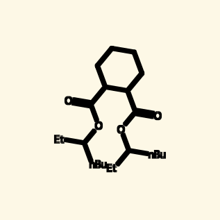 CCCCC(CC)OC(=O)C1CCCCC1C(=O)OC(CC)CCCC